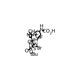 Cn1ncc(NC(=O)c2nc(Br)sc2NC(=O)OC(C)(C)C)c1N1CCC(NC(=O)O)CC(F)(F)C1